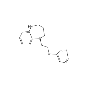 c1ccc(OCCN2CCCNc3ccccc32)cc1